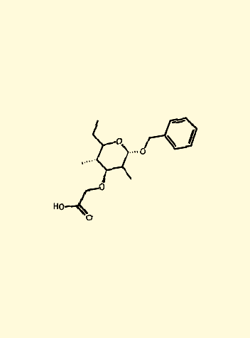 CCC1O[C@H](OCc2ccccc2)C(C)[C@@H](OCC(=O)O)[C@@H]1C